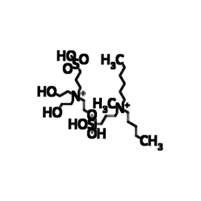 CCCCCC[N+](C)(CCCCC)CCC[Si](O)(O)OCC[N+](CCO)(CCO)CCCS(=O)(=O)O